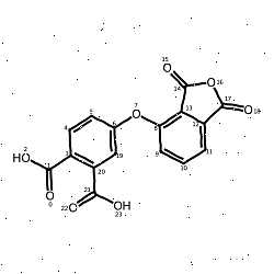 O=C(O)c1ccc(Oc2cccc3c2C(=O)OC3=O)cc1C(=O)O